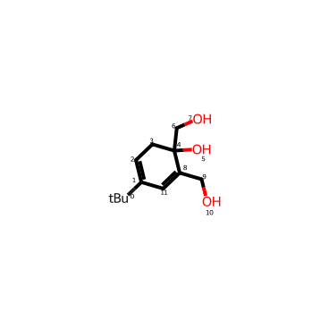 CC(C)(C)C1=CCC(O)(CO)C(CO)=C1